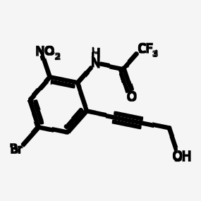 O=C(Nc1c(C#CCO)cc(Br)cc1[N+](=O)[O-])C(F)(F)F